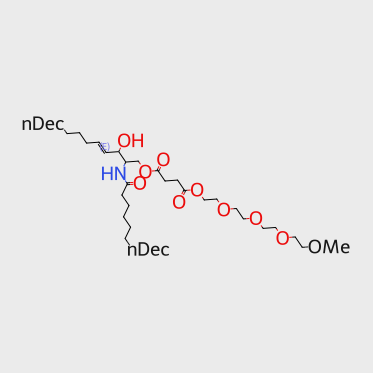 CCCCCCCCCCCCC/C=C/C(O)C(COC(=O)CCC(=O)OCCOCCOCCOCCOC)NC(=O)CCCCCCCCCCCCCCC